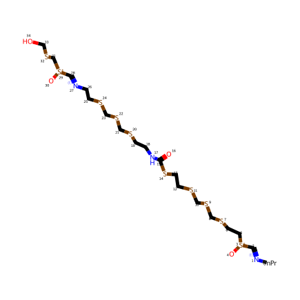 CCC/N=C/[S+]([O-])CCSCSCSCCSC(=O)NCCSCSCSCC/N=C/[S+]([O-])CSCO